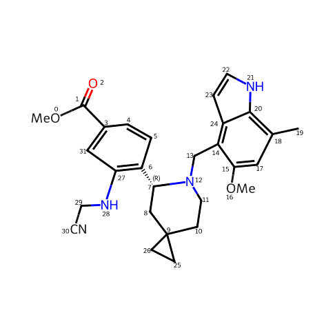 COC(=O)c1ccc([C@H]2CC3(CCN2Cc2c(OC)cc(C)c4[nH]ccc24)CC3)c(NCC#N)c1